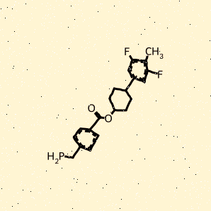 Cc1c(F)cc(C2CCC(OC(=O)c3ccc(CP)cc3)CC2)cc1F